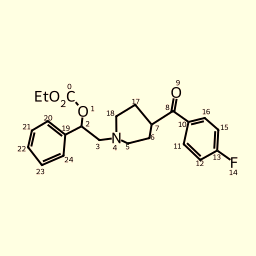 CCOC(=O)OC(CN1CCC(C(=O)c2ccc(F)cc2)CC1)c1ccccc1